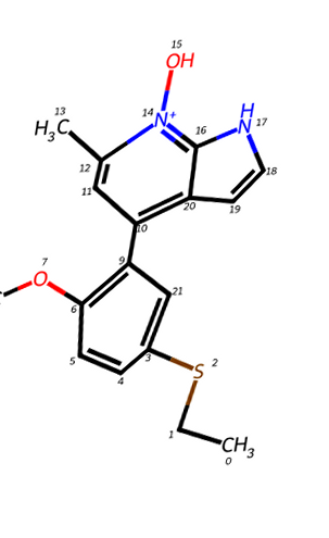 CCSc1ccc(OC)c(-c2cc(C)[n+](O)c3[nH]ccc23)c1